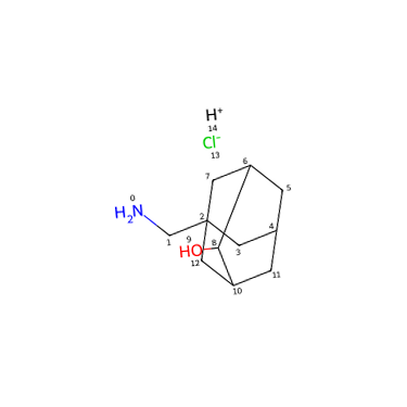 NCC12CC3CC(C1)C(O)C(C3)C2.[Cl-].[H+]